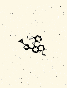 CC(=O)N1c2ccc(-c3cnn(C4CC4)c3)c(Oc3ncccc3C(F)(F)F)c2CC[C@@H]1C